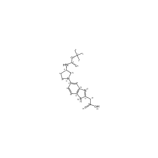 CC(C)(C)OC(=O)NC1CCN(c2ccc3[nH]c(CC(=O)O)nc3c2)C1